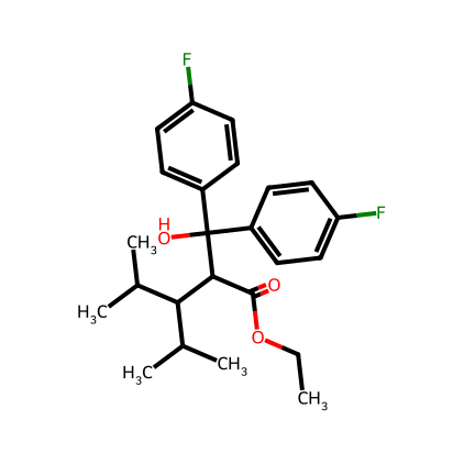 CCOC(=O)C(C(C(C)C)C(C)C)C(O)(c1ccc(F)cc1)c1ccc(F)cc1